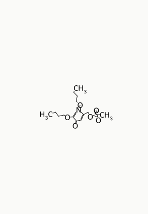 CCCCOc1cn(OCCCC)c(COS(C)(=O)=O)cc1=O